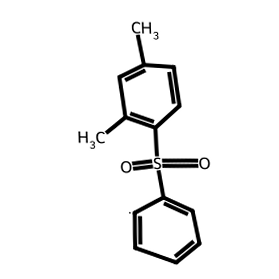 Cc1ccc(S(=O)(=O)c2[c]cccc2)c(C)c1